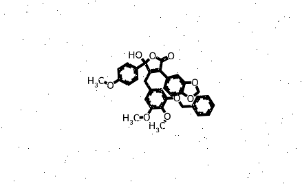 COc1ccc(C2(O)OC(=O)C(c3ccc4c(c3)OCO4)=C2Cc2cc(OC)c(OC)c(OCc3ccccc3)c2)cc1